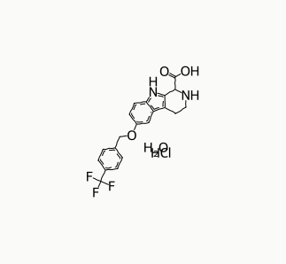 Cl.O.O=C(O)C1NCCc2c1[nH]c1ccc(OCc3ccc(C(F)(F)F)cc3)cc21